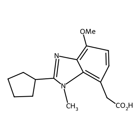 COc1ccc(CC(=O)O)c2c1nc(C1CCCC1)n2C